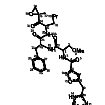 COCC(NC(=O)c1cc(Cc2ncn[nH]2)on1)C(=O)N[C@@H](Cc1ccccc1)C(=O)NC(CC(C)C)C(=O)[C@@]1(C)CO1